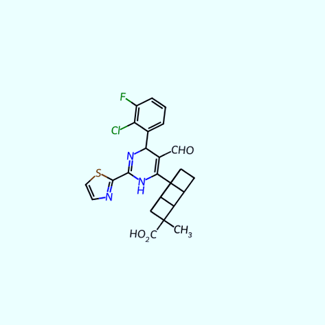 CC1(C(=O)O)C2C3CC4C1C2C34C1=C(C=O)C(c2cccc(F)c2Cl)N=C(c2nccs2)N1